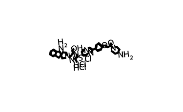 Cc1nc(N2CCC3(CC2)Cc2ccccc2[C@H]3N)c(CO)nc1Sc1ccn2cc(-c3ccc(OCC(=O)N4CCC(N)CC4)cc3)nc2c1Cl.Cl.Cl